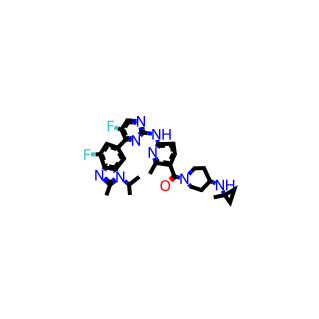 Cc1nc(Nc2ncc(F)c(-c3cc(F)c4nc(C)n(C(C)C)c4c3)n2)ccc1C(=O)N1CCC(NC2(C)CC2)CC1